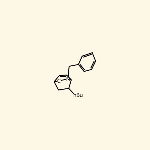 CCCCC1CC2C=CC1N(Cc1ccccc1)C2